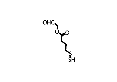 O=[C]COC(=O)CCCSS